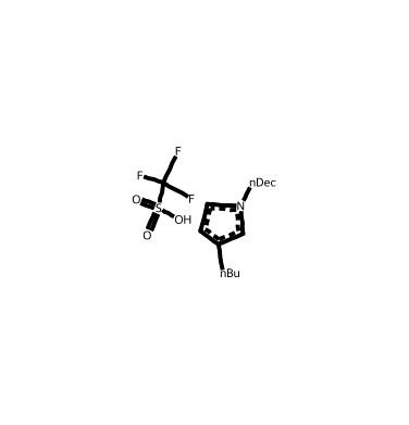 CCCCCCCCCCn1ccc(CCCC)c1.O=S(=O)(O)C(F)(F)F